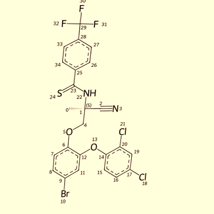 C[C@](C#N)(COc1ccc(Br)cc1Oc1ccc(Cl)cc1Cl)NC(=S)c1ccc(C(F)(F)F)cc1